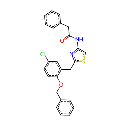 O=C(Cc1ccccc1)Nc1csc(Cc2cc(Cl)ccc2OCc2ccccc2)n1